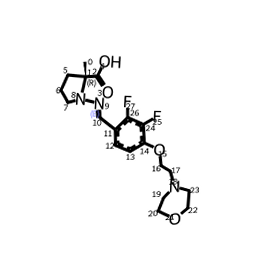 C[C@]1(C(=O)O)CCCN1/N=C/c1ccc(OCCN2CCOCC2)c(F)c1F